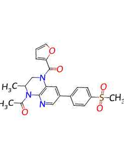 CC(=O)N1c2ncc(-c3ccc(S(C)(=O)=O)cc3)cc2N(C(=O)c2ccco2)CC1C